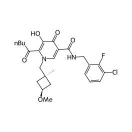 CCCCC(=O)c1c(O)c(=O)c(C(=O)NCc2cccc(Cl)c2F)cn1C[C@]1(C)C[C@H](OC)C1